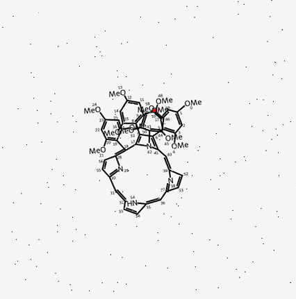 COc1cc(OC)c(-c2c(-c3c(OC)cc(OC)cc3OC)c3c(-c4c(OC)cc(OC)cc4OC)c4nc(cc5ccc(cc6nc(cc2n3-c2c(OC)cc(OC)cc2OC)C=C6)[nH]5)C=C4)c(OC)c1